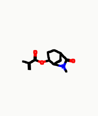 C=C(C)C(=O)OC1CCC2CC1N(C)C2=O